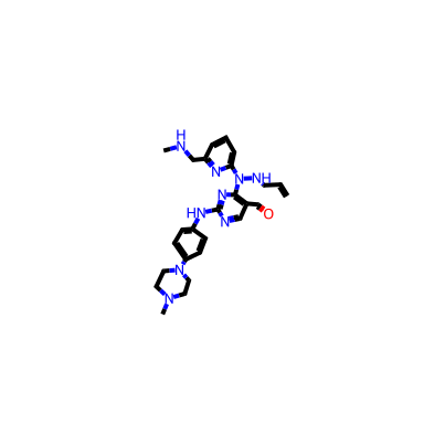 C=CCNN(c1cccc(CNC)n1)c1nc(Nc2ccc(N3CCN(C)CC3)cc2)ncc1C=O